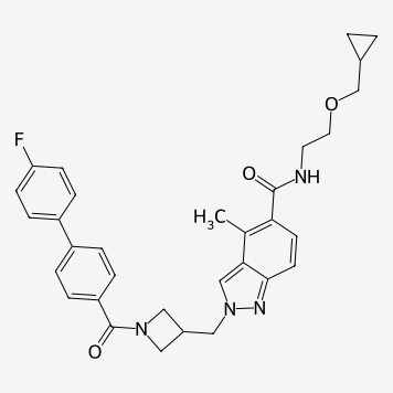 Cc1c(C(=O)NCCOCC2CC2)ccc2nn(CC3CN(C(=O)c4ccc(-c5ccc(F)cc5)cc4)C3)cc12